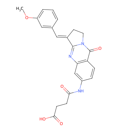 COc1cccc(/C=C2\CCn3c2nc2cc(NC(=O)CCC(=O)O)ccc2c3=O)c1